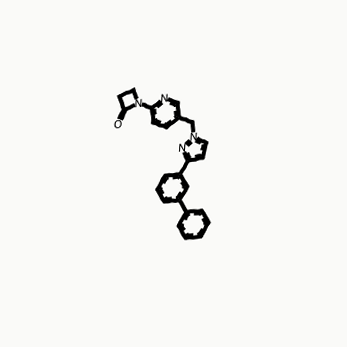 O=C1CCN1c1ccc(Cn2ccc(-c3cccc(-c4ccccc4)c3)n2)cn1